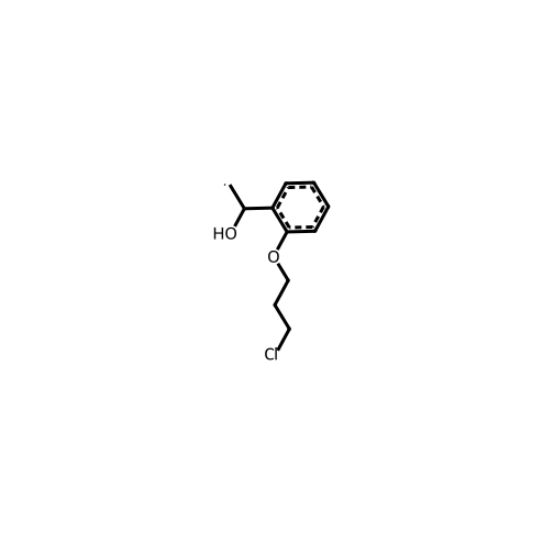 [CH2]C(O)c1ccccc1OCCCCl